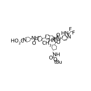 Cc1cc(C(=O)NC2CCN(C(=O)O)CC2)ccc1-c1ccc(C[C@H](NC(=O)[C@H]2CC[C@H](CNC(=O)OC(C)(C)C)CC2)C(=O)Nc2ccc3nc(C(F)F)[nH]c3c2)cc1